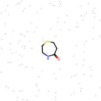 O=C1CCS[CH]CN1